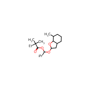 CCC(C)(C)C(=O)OC(OC1CC2CCCC(C)C2O1)C(C)C